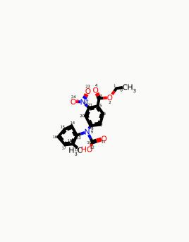 CCOC(=O)c1ccc(N(C(=O)O)c2ccccc2C)cc1[N+](=O)[O-]